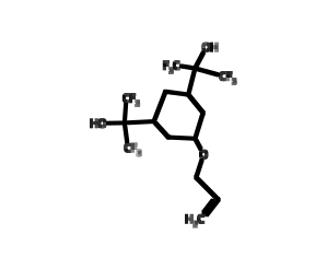 C=CCOC1CC(C(O)(C(F)(F)F)C(F)(F)F)CC(C(O)(C(F)(F)F)C(F)(F)F)C1